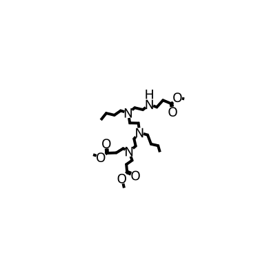 CCCCN(CCNCCC(=O)OC)CCN(CCCC)CCN(CCC(=O)OC)CCC(=O)OC